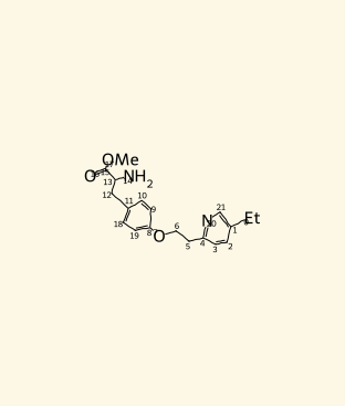 CCc1ccc(CCOc2ccc(CC(N)C(=O)OC)cc2)nc1